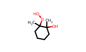 CC1(O)CCCCC1(C)OO